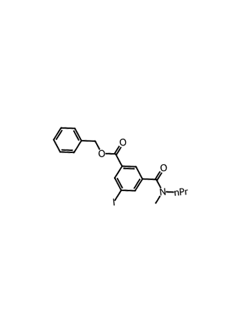 CCCN(C)C(=O)c1cc(I)cc(C(=O)OCc2ccccc2)c1